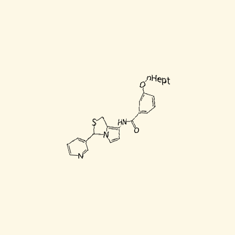 CCCCCCCOc1cccc(C(=O)Nc2ccn3c2CSC3c2cccnc2)c1